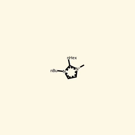 CCCCCCc1n(CCCC)cc[n+]1C